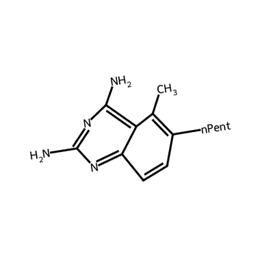 CCCCCc1ccc2nc(N)nc(N)c2c1C